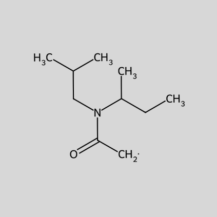 [CH2]C(=O)N(CC(C)C)C(C)CC